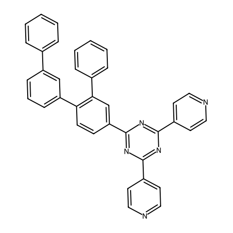 c1ccc(-c2cccc(-c3ccc(-c4nc(-c5ccncc5)nc(-c5ccncc5)n4)cc3-c3ccccc3)c2)cc1